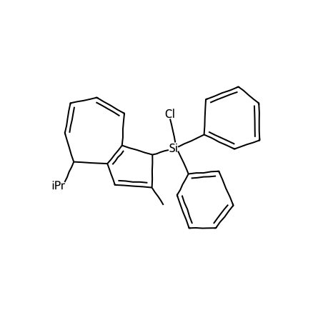 CC1=CC2=C(C=CC=CC2C(C)C)C1[Si](Cl)(c1ccccc1)c1ccccc1